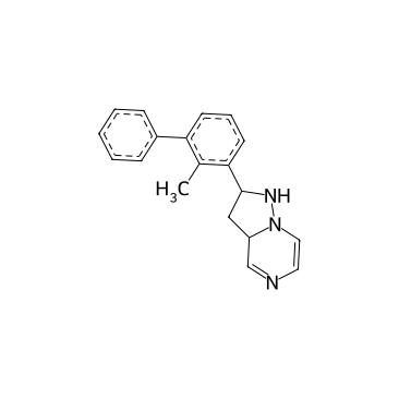 Cc1c(-c2ccccc2)cccc1C1CC2C=NC=CN2N1